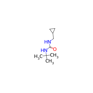 CC(C)(C)NC(=O)NCC1CC1